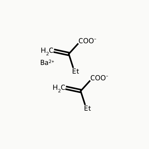 C=C(CC)C(=O)[O-].C=C(CC)C(=O)[O-].[Ba+2]